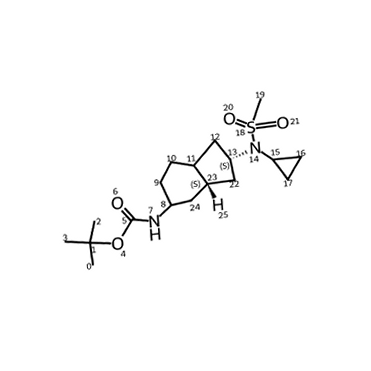 CC(C)(C)OC(=O)NC1CCC2C[C@H](N(C3CC3)S(C)(=O)=O)C[C@@H]2C1